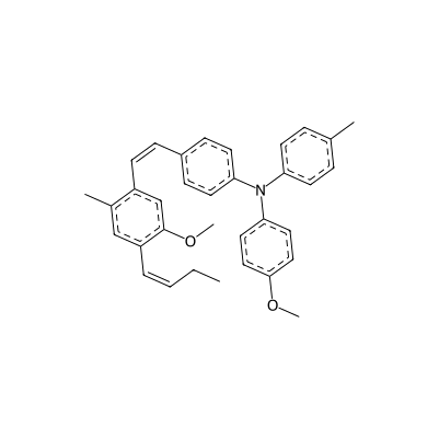 CC/C=C\c1cc(C)c(/C=C\c2ccc(N(c3ccc(C)cc3)c3ccc(OC)cc3)cc2)cc1OC